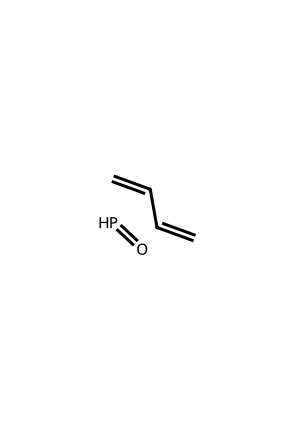 C=CC=C.O=P